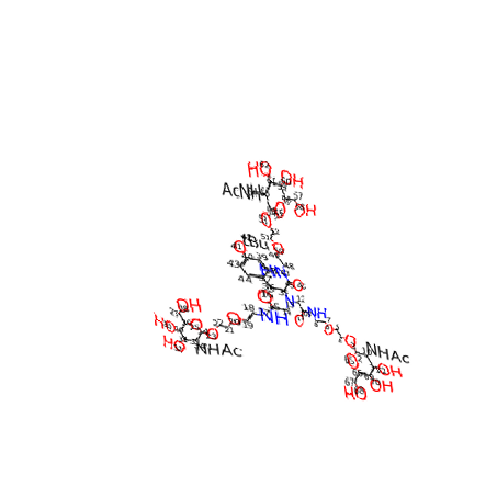 CC(=O)NC1C(OCCOCCNC(=O)CN(CC(=O)NCCOCCOC2OC(CO)C(O)C(O)C2NC(C)=O)C(Cc2ccc(OC(C)(C)C)cc2)C(=O)NCCOCCOC2OC(CO)C(O)C(O)C2NC(C)=O)OC(CO)C(O)C1O